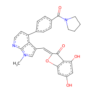 Cn1cc(C=C2Oc3cc(O)cc(O)c3C2=O)c2c(-c3ccc(C(=O)N4CCCC4)cc3)ccnc21